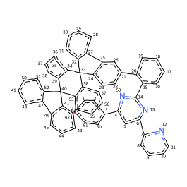 c1ccc(-c2cc(-c3ccccn3)nc(-c3ccccc3-c3ccc4c(c3)-c3ccccc3C43c4ccccc4C4(c5ccccc5-c5ccccc54)c4ccccc43)n2)cc1